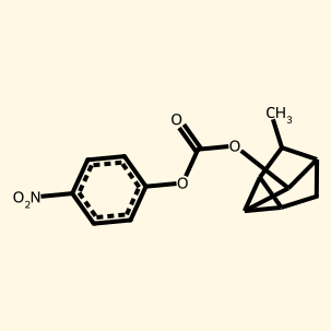 CC1C2CC3C1C3C2OC(=O)Oc1ccc([N+](=O)[O-])cc1